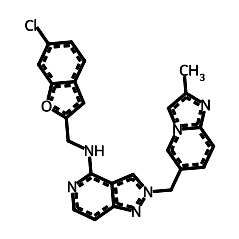 Cc1cn2cc(Cn3cc4c(NCc5cc6ccc(Cl)cc6o5)nccc4n3)ccc2n1